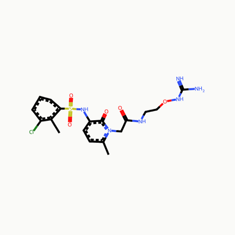 Cc1c(Cl)cccc1S(=O)(=O)Nc1ccc(C)n(CC(=O)NCCONC(=N)N)c1=O